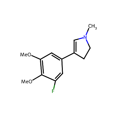 COc1cc(C2=CN(C)CC2)cc(F)c1OC